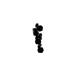 COc1ccccc1Nc1nc(-c2cc3ccc(OCc4ccccc4)cc3oc2=O)cs1